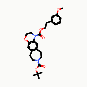 COc1cccc(CCOC(=O)N2CCOc3cc4c(cc32)CCN(C(=O)OC(C)(C)C)CC4)c1